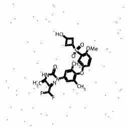 C=C1NC(=O)N(c2cc(C)c(Oc3ccc(OC)c(S(=O)(=O)C4CC(O)C4)c3)c(C)c2)N=C1C(F)F